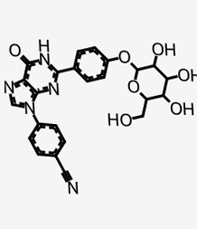 N#Cc1ccc(-n2cnc3c(=O)[nH]c(-c4ccc(OC5OC(CO)C(O)C(O)C5O)cc4)nc32)cc1